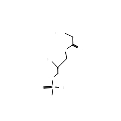 CCCCCCCCCC(=O)OCC(O)COP(=O)(O)O